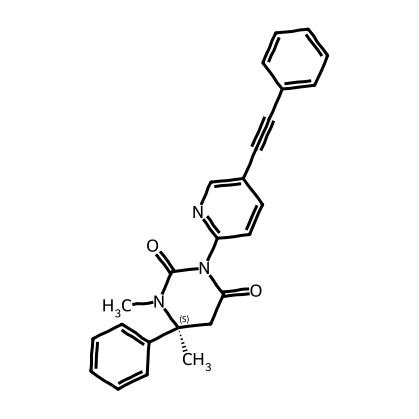 CN1C(=O)N(c2ccc(C#Cc3ccccc3)cn2)C(=O)C[C@@]1(C)c1ccccc1